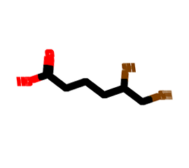 O=C(O)CCCC(S)CS